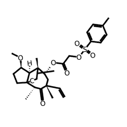 C=C[C@@]1(C)C[C@@H](OC(=O)COS(=O)(=O)c2ccc(C)cc2)[C@]2(C)C(C)CC[C@]3(CC[C@@H](OC)[C@H]32)[C@@H](C)C1=O